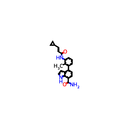 Cc1c(NC(=O)C=CC2CC2)cccc1-c1ccc(C(N)=O)c2[nH]ccc12